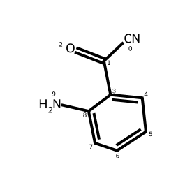 N#CC(=O)c1ccccc1N